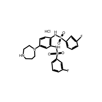 Cl.O=S(=O)(Nc1ccc(N2CCCNCC2)cc1NS(=O)(=O)c1cccc(F)c1)c1cccc(F)c1